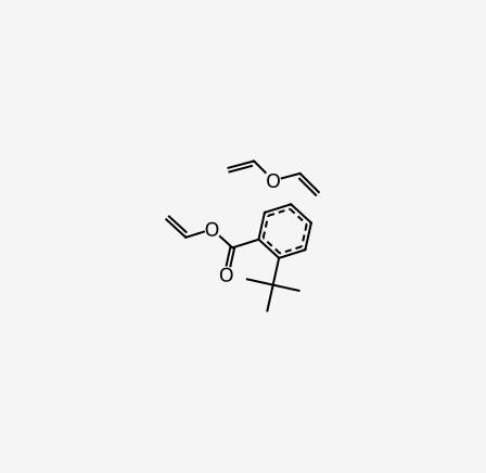 C=COC(=O)c1ccccc1C(C)(C)C.C=COC=C